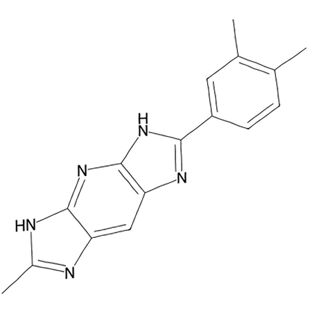 Cc1nc2cc3nc(-c4ccc(C)c(C)c4)[nH]c3nc2[nH]1